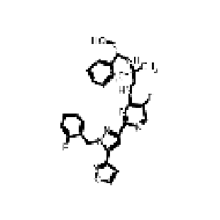 C[C@@](CNc1nc(-c2cc(-c3ccon3)n(Cc3ccccc3F)n2)ncc1F)(N[C@@H](CO)c1ccccc1)C(F)(F)F